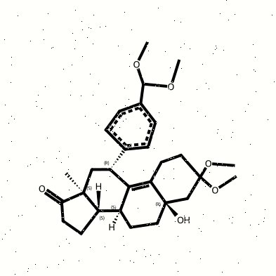 COC(OC)c1ccc([C@H]2C[C@]3(C)C(=O)CC[C@H]3[C@@H]3CC[C@@]4(O)CC(OC)(OC)CCC4=C32)cc1